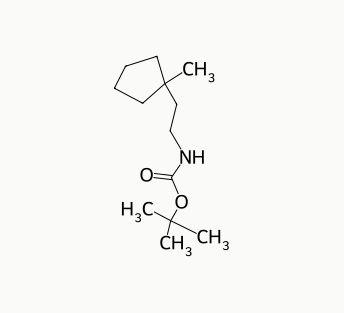 CC1(CCNC(=O)OC(C)(C)C)CCCC1